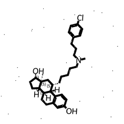 CN(CCCCC[C@H]1C[C@]2(C)[C@@H](O)CC[C@H]2[C@@H]2CCc3cc(O)ccc3[C@@H]12)CCCc1ccc(Cl)cc1